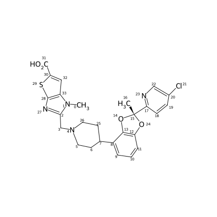 Cn1c(CN2CCC(c3cccc4c3O[C@](C)(c3ccc(Cl)cn3)O4)CC2)nc2sc(C(=O)O)cc21